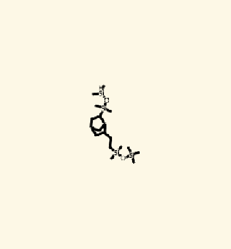 C[SiH](C)O[Si](C)(C)C1CC2CC(CC[Si](C)(C)O[Si](C)(C)C)C1C2